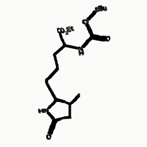 CCOC(=O)C(CCCC1NC(=O)CC1C)NC(=O)OC(C)(C)C